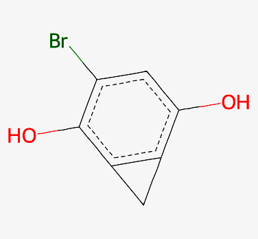 Oc1cc(Br)c(O)c2c1C2